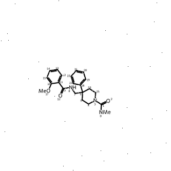 CNC(=O)N1CCC(CNC(=O)c2ccccc2OC)(c2ccccc2)CC1